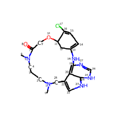 CN1CCCN(C)C(=O)COC2CC(=CC=C2Cl)NC2=C3C(=CNC3NC=N2)C1